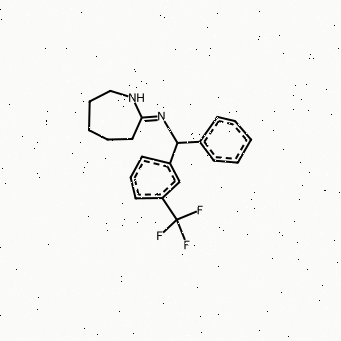 FC(F)(F)c1cccc(C(/N=C2\CCCCCN2)c2ccccc2)c1